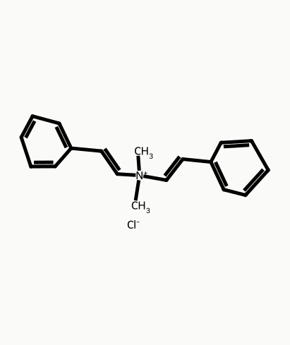 C[N+](C)(C=Cc1ccccc1)C=Cc1ccccc1.[Cl-]